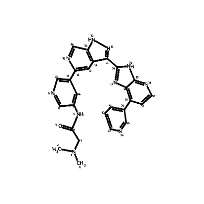 CN(C)CC(=O)Nc1cncc(-c2cc3c(-c4nc5c(-c6cccnc6)ccnc5[nH]4)n[nH]c3cn2)c1